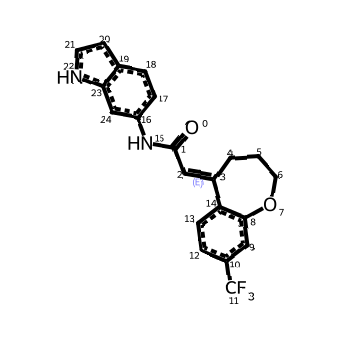 O=C(/C=C1\CCCOc2cc(C(F)(F)F)ccc21)Nc1ccc2cc[nH]c2c1